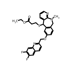 CCOC(=O)CCSC1c2cc(OCc3ccc4cc(F)c(F)cc4n3)ccc2CN(C)c2ncccc21